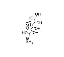 BOCC(O)C(O)C(OS)C(O)C(O)C(O)C(O)CO